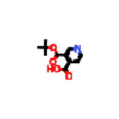 CC(C)(C)OC(=O)c1cnccc1C(=O)O